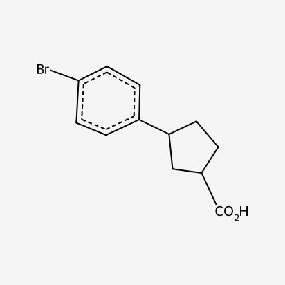 O=C(O)C1CCC(c2ccc(Br)cc2)C1